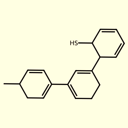 CC1C=CC(C2=CCCC(C3C=CC=CC3S)=C2)=CC1